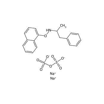 CC(Cc1ccccc1)NOc1cccc2ccccc12.O=S(=O)([O-])OS(=O)(=O)[O-].[Na+].[Na+]